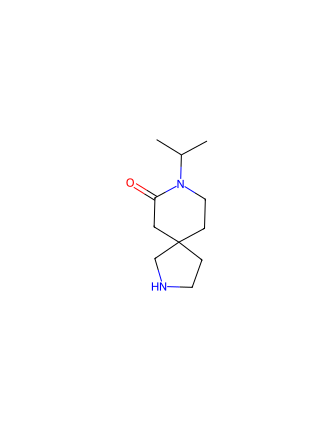 CC(C)N1CCC2(CCNC2)CC1=O